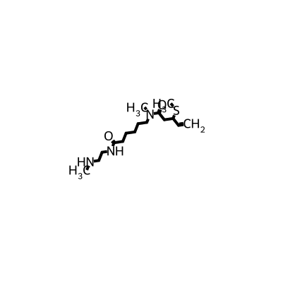 C=CC(CC(=O)N(C)CCCCCC(=O)NCCNC)SC